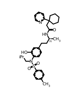 Cc1ccc(S(=O)(=O)N(CC(C)C)c2ccc(CC[C@H](C)NC(=O)CC3(c4ccccn4)CCCCC3)cc2O)cc1